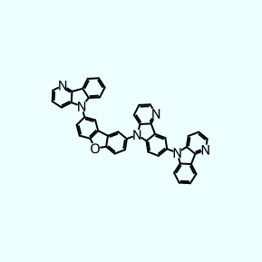 c1ccc2c(c1)c1ncccc1n2-c1ccc2oc3ccc(-n4c5ccc(-n6c7ccccc7c7ncccc76)cc5c5ncccc54)cc3c2c1